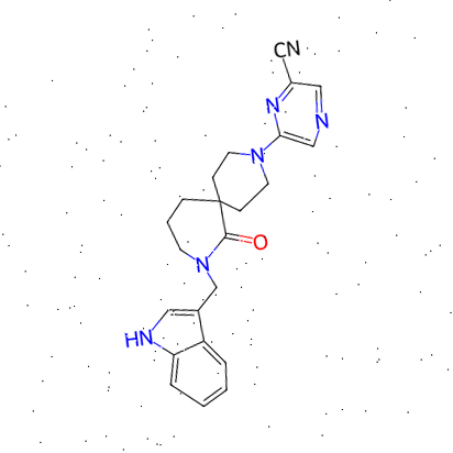 N#Cc1cncc(N2CCC3(CCCN(Cc4c[nH]c5ccccc45)C3=O)CC2)n1